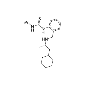 CC(C)NC(=S)Nc1ccccc1CN[C@@H](C)CC1CCCCC1